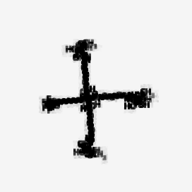 CC(=O)N[C@@H]1[C@@H](O)[C@@H](O)[C@@H](CO)O[C@H]1Cc1cn(CCOCCOCCOCCNC(=O)CCC(CCC(=O)NCCOCCOCCOCCn2cc(C[C@@H]3O[C@H](CO)[C@H](O)[C@H](O)[C@H]3NC(C)=O)nn2)(CCC(=O)NCCOCCOCCOCCn2cc(C[C@@H]3O[C@H](CO)[C@H](O)[C@H](O)[C@H]3NC(C)=O)nn2)NC(=O)CCCCCCCCCCC(=O)Oc2c(F)c(F)c(F)c(F)c2F)nn1